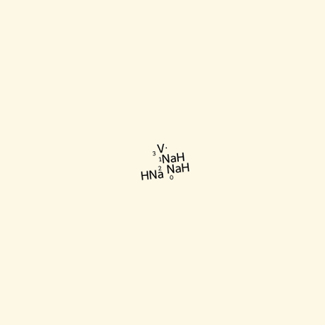 [NaH].[NaH].[NaH].[V]